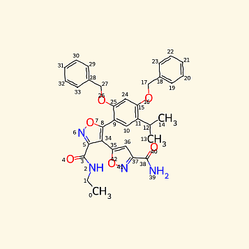 CCNC(=O)c1noc(-c2cc(C(C)C)c(OCc3ccccc3)cc2OCc2ccccc2)c1-c1cc(C(N)=O)no1